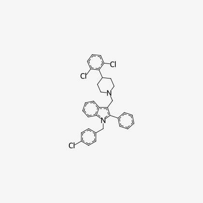 Clc1ccc(Cn2c(-c3ccccc3)c(CN3CCC(c4c(Cl)cccc4Cl)CC3)c3ccccc32)cc1